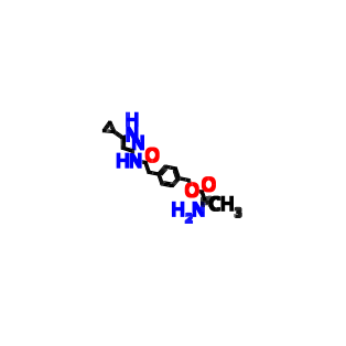 C[C@H](N)C(=O)OCc1ccc(CC(=O)Nc2cc(C3CC3)[nH]n2)cc1